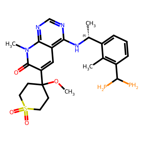 COC1(c2cc3c(N[C@H](C)c4cccc(C(P)P)c4C)ncnc3n(C)c2=O)CCS(=O)(=O)CC1